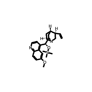 C=C[C@H]1CN2CC[C@H]1C[C@@H]2[C@@H](O[Si](C)(C)C)c1ccnc2ccc(OC)cc12